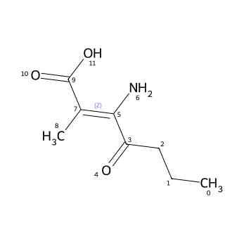 CCCC(=O)/C(N)=C(\C)C(=O)O